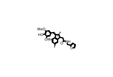 COc1cc(/C=C2\c3ccc(F)cc3C(CC(=O)NCc3ccco3)[C@@H]2C)cc(OC)c1O